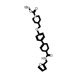 CC(C)(C)OC(=O)N1CCC(COc2ccc(C3=CCC(C(=O)NCc4ccco4)CC3)cc2)CC1